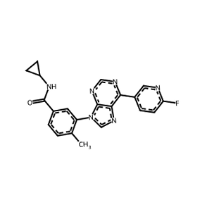 Cc1ccc(C(=O)NC2CC2)cc1-n1cnc2c(-c3ccc(F)nc3)ncnc21